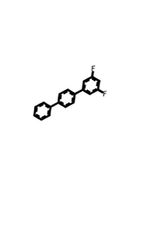 Fc1cc(F)cc(-c2ccc(-c3ccccc3)cc2)c1